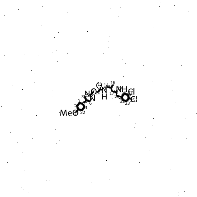 COc1ccc(-c2cnc(OCC(=O)NCC(C)CC(=N)Cc3ccc(Cl)c(Cl)c3)nc2)cc1